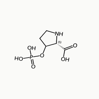 O=C(O)[C@H]1NCCC1OP(=O)(O)O